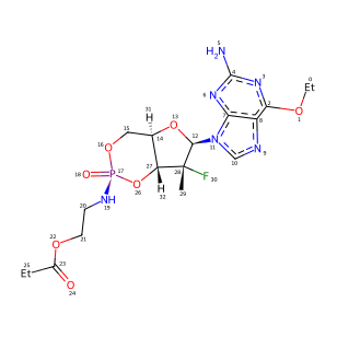 CCOc1nc(N)nc2c1ncn2[C@@H]1O[C@@H]2CO[P@](=O)(NCCOC(=O)CC)O[C@H]2[C@@]1(C)F